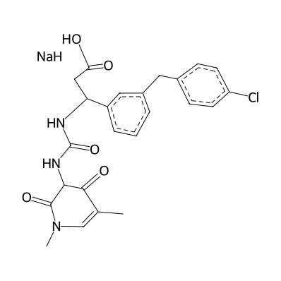 CC1=CN(C)C(=O)C(NC(=O)NC(CC(=O)O)c2cccc(Cc3ccc(Cl)cc3)c2)C1=O.[NaH]